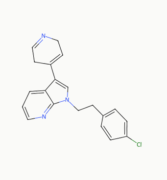 Clc1ccc(CCn2cc(C3=CCN=CC3)c3cccnc32)cc1